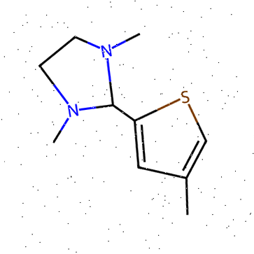 Cc1csc(C2N(C)CCN2C)c1